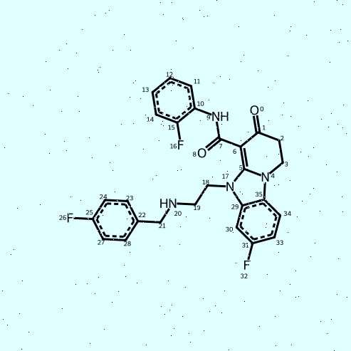 O=C1CCN2C(=C1C(=O)Nc1ccccc1F)N(CCNCc1ccc(F)cc1)c1cc(F)ccc12